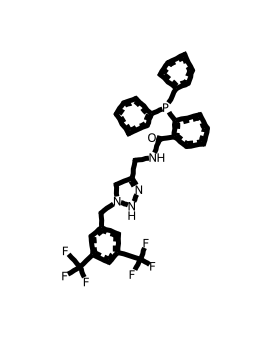 O=C(NCC1=NNN(Cc2cc(C(F)(F)F)cc(C(F)(F)F)c2)C1)c1ccccc1P(c1ccccc1)c1ccccc1